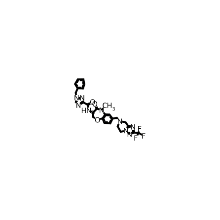 CN1C(=O)[C@H](NC(=O)c2ncn(Cc3ccccc3)n2)COc2ccc(CN3CCn4nc(C(F)(F)F)nc4C3)cc21